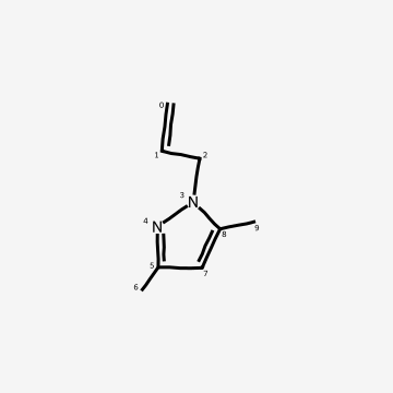 C=CCn1nc(C)cc1C